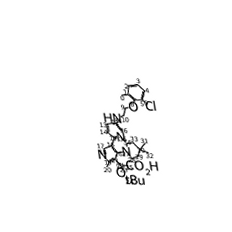 Cc1cccc(Cl)c1OCCNc1ccc(-c2cnc(C)c([C@H](OC(C)(C)C)C(=O)O)c2N2CCC(C)(C)CC2)nc1